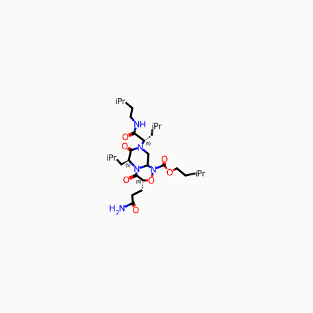 CC(C)CCNC(=O)[C@H](CC(C)C)N1CC2N(C(=O)OCCC(C)C)O[C@H](CCC(N)=O)C(=O)N2[C@@H](CC(C)C)C1=O